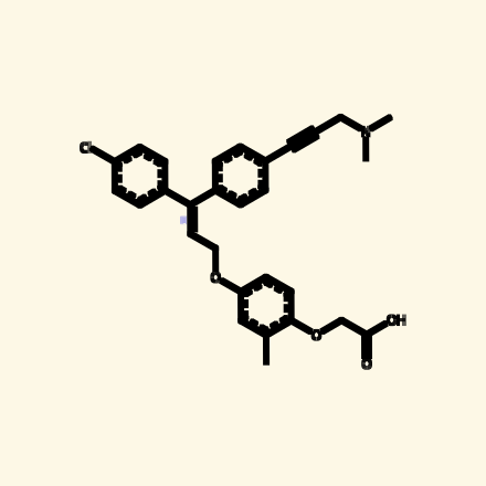 Cc1cc(OC/C=C(/c2ccc(Cl)cc2)c2ccc(C#CCN(C)C)cc2)ccc1OCC(=O)O